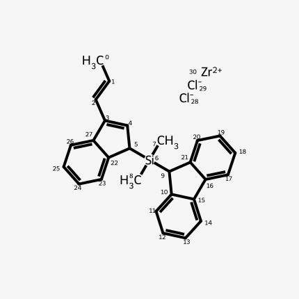 CC=CC1=CC([Si](C)(C)C2c3ccccc3-c3ccccc32)c2ccccc21.[Cl-].[Cl-].[Zr+2]